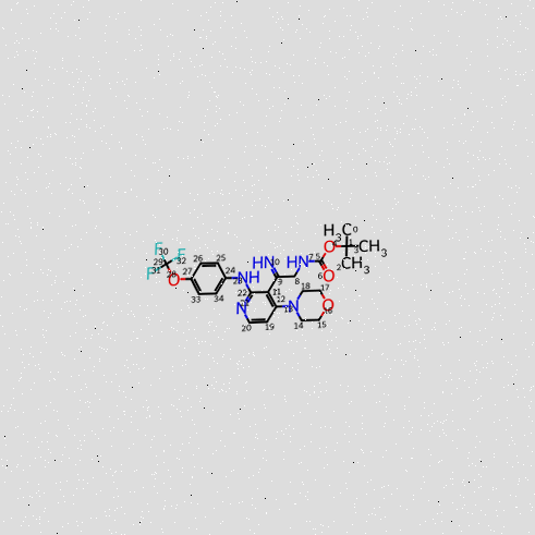 CC(C)(C)OC(=O)NCC(=N)c1c(N2CCOCC2)ccnc1Nc1ccc(OC(F)(F)F)cc1